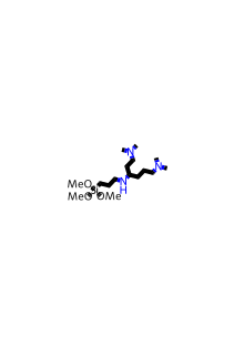 CO[Si](CCCNC(CCCN(C)C)CCN(C)C)(OC)OC